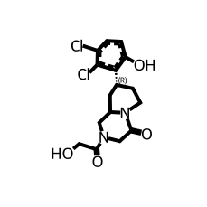 O=C(CO)N1CC(=O)N2CC[C@@H](c3c(O)ccc(Cl)c3Cl)CC2C1